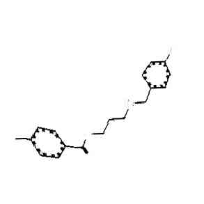 CCc1ccc(CNCCCOC(=O)c2ccc(C)cc2)cc1